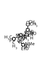 CCP(=O)(CC)c1ccc(-n2ccn(-c3c(-c4cc(C)c(F)c(C)c4)nn4c3C(C)N(C(=O)c3cc5cc(C6CCOC(C)(C)C6)ccc5n3[C@@]3(c5noc(=O)[nH]5)C[C@@H]3C)CC4)c2=O)cc1NC